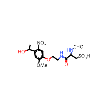 COc1cc(C(C)O)c([N+](=O)[O-])cc1OCCNC(=O)C(CS(=O)(=O)O)NC=O